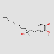 CCCCCCCCC(C)(O)CCc1ccc(O)c(OC)c1